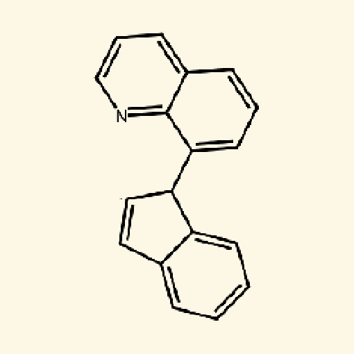 [C]1=Cc2ccccc2C1c1cccc2cccnc12